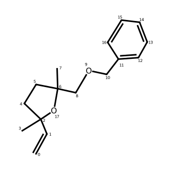 C=CC1(C)CCC(C)(COCc2ccccc2)O1